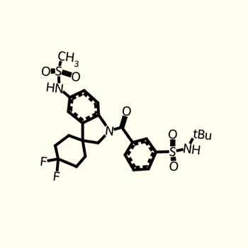 CC(C)(C)NS(=O)(=O)c1cccc(C(=O)N2CC3(CCC(F)(F)CC3)c3cc(NS(C)(=O)=O)ccc32)c1